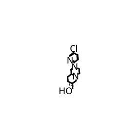 OC[C@H]1CCC2CN(c3ccc(Cl)cn3)CCN2C1